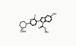 CO[C@H]1CCCN(c2ccc(-c3cc4cc(O)ccc4n3C(=O)OC(C)(C)C)c(F)n2)C1